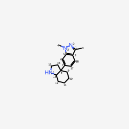 Cc1nn(C)c2cc(C34CCCCC3NCC4)ccc12